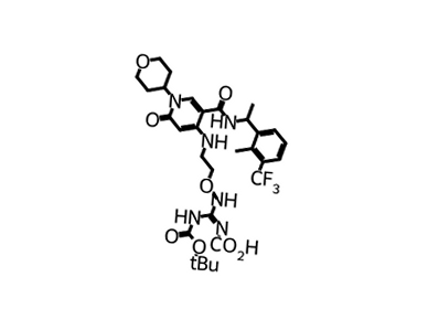 Cc1c(C(C)NC(=O)c2cn(C3CCOCC3)c(=O)cc2NCCONC(=NC(=O)O)NC(=O)OC(C)(C)C)cccc1C(F)(F)F